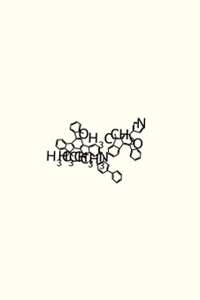 CC1(C)c2cc(N(c3cccc(-c4ccccc4)c3)c3ccc4c(c3)C(C)(C)c3c5c(c6c(oc7ccccc76)c3-4)-c3ccccc3C5(C)C)ccc2-c2c1cc(-c1ccncc1)c1oc3ccccc3c21